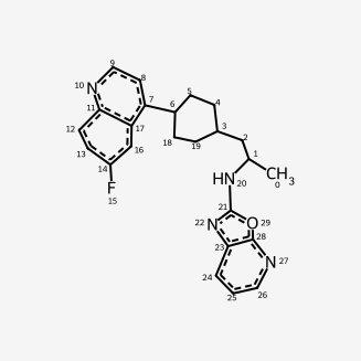 CC(CC1CCC(c2ccnc3ccc(F)cc23)CC1)Nc1nc2cccnc2o1